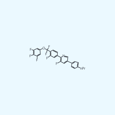 CCCc1ccc(-c2cnc(-c3ccc(C(F)(F)Oc4cc(F)c(F)c(F)c4)c(F)c3)c(F)c2)cc1